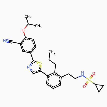 CCCc1c(CCNS(=O)(=O)C2CC2)cccc1-c1cnc(-c2ccc(OC(C)C)c(C#N)c2)s1